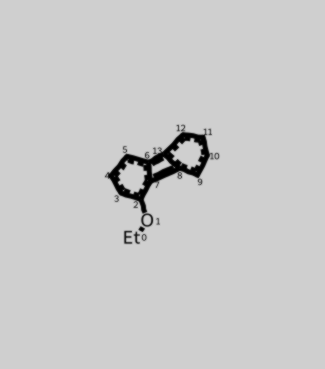 CCOc1cccc2c1=c1ccccc1=2